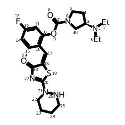 CCN(CC)[C@@H]1CCN(C(=O)Oc2cc(F)ccc2/C=C2/SC(N3CCCCN3)=NC2=O)C1